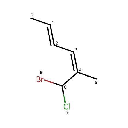 CC=CC=C(C)C(Cl)Br